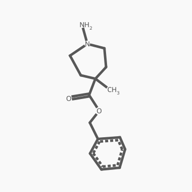 CC1(C(=O)OCc2ccccc2)CCN(N)CC1